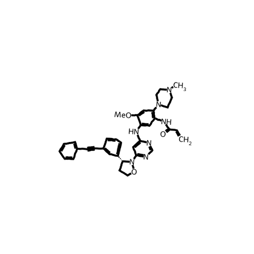 C=CC(=O)Nc1cc(Nc2cc(N3OCC[C@@H]3c3cccc(C#Cc4ccccc4)c3)ncn2)c(OC)cc1N1CCN(C)CC1